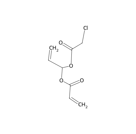 C=CC(=O)OC(C=C)OC(=O)CCl